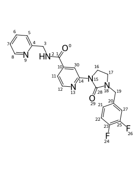 O=C(NCc1ccccn1)c1ccnc(N2CCN(Cc3ccc(F)c(F)c3)C2=O)c1